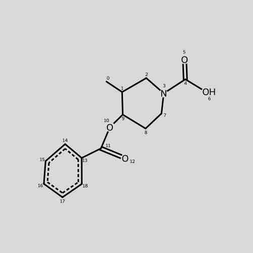 CC1CN(C(=O)O)CCC1OC(=O)c1ccccc1